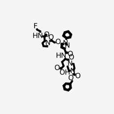 O=C(O)CCC(NC(=O)c1cc(OCC(=O)N2CCCC2C(=O)NCCF)n(-c2ccccc2)n1)C(=O)N1CCN(C(=O)OCc2ccccc2)CC1